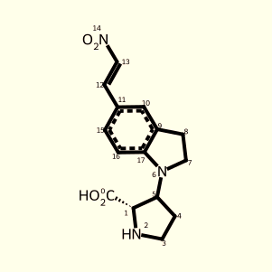 O=C(O)[C@H]1NCCC1N1CCc2cc(C=C[N+](=O)[O-])ccc21